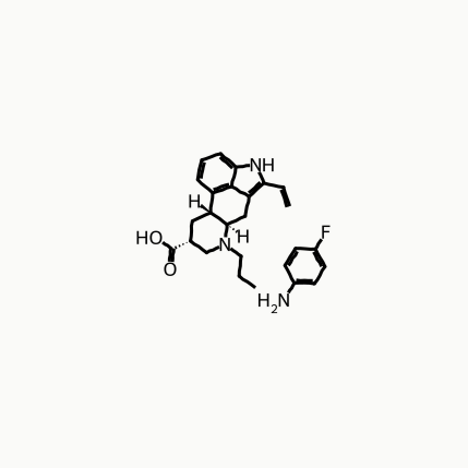 C=Cc1[nH]c2cccc3c2c1C[C@@H]1[C@@H]3C[C@@H](C(=O)O)CN1CCC.Nc1ccc(F)cc1